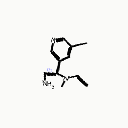 C=CN(C)/C(=C\N)c1cncc(C)c1